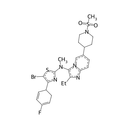 CCc1nc2ccc(C3CCN(S(C)(=O)=O)CC3)cn2c1N(C)c1nc(C2C=CC(F)=CC2)c(Br)s1